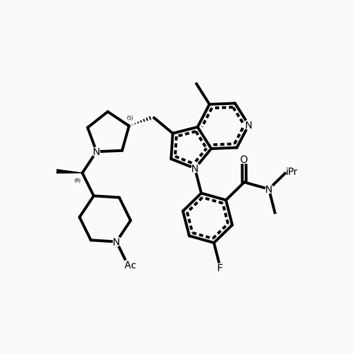 CC(=O)N1CCC([C@@H](C)N2CC[C@H](Cc3cn(-c4ccc(F)cc4C(=O)N(C)C(C)C)c4cncc(C)c34)C2)CC1